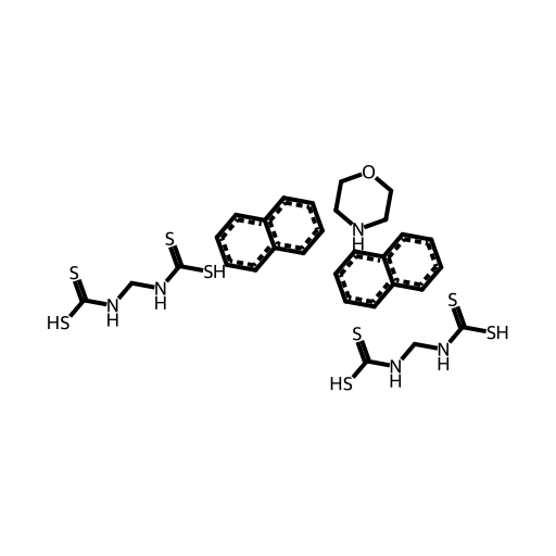 C1COCCN1.S=C(S)NCNC(=S)S.S=C(S)NCNC(=S)S.c1ccc2ccccc2c1.c1ccc2ccccc2c1